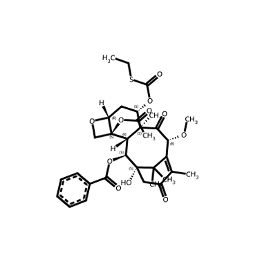 CCSC(=O)O[C@H]1C[C@H]2OC[C@@]2(OC(C)=O)[C@H]2[C@H](OC(=O)c3ccccc3)[C@]3(O)CC(=O)C(C)=C([C@@H](OC)C(=O)[C@]12C)C3(C)C